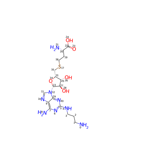 NCCCNc1nc(N)c2ncn([C@@H]3O[C@H](CSCC[C@H](N)C(=O)O)[C@H](O)[C@H]3O)c2n1